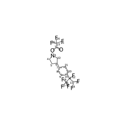 O=C(ON1CCC(c2ccc(C(F)(C(F)F)C(F)(F)F)cc2)C1)C(F)(F)F